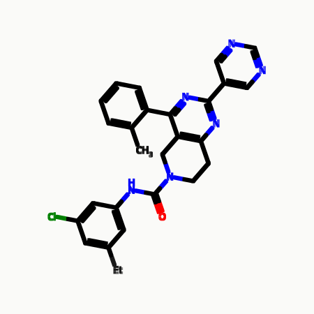 CCc1cc(Cl)cc(NC(=O)N2CCc3nc(-c4cncnc4)nc(-c4ccccc4C)c3C2)c1